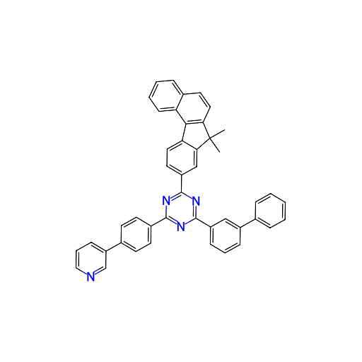 CC1(C)c2cc(-c3nc(-c4ccc(-c5cccnc5)cc4)nc(-c4cccc(-c5ccccc5)c4)n3)ccc2-c2c1ccc1ccccc21